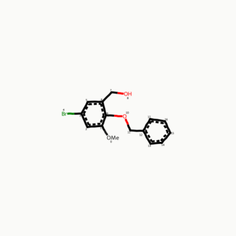 COc1cc(Br)cc(CO)c1OCc1ccccc1